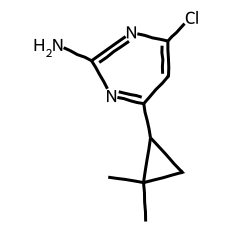 CC1(C)CC1c1cc(Cl)nc(N)n1